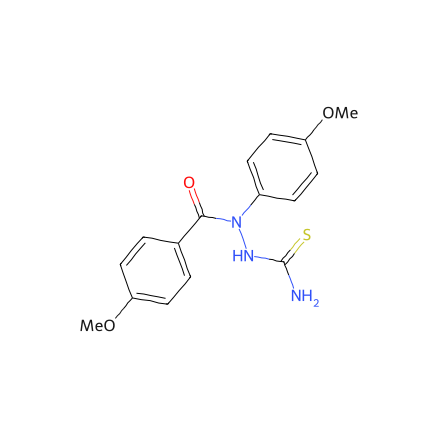 COc1ccc(C(=O)N(NC(N)=S)c2ccc(OC)cc2)cc1